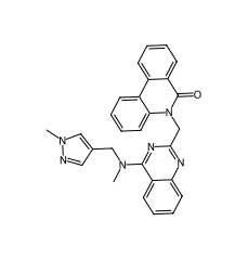 CN(Cc1cnn(C)c1)c1nc(Cn2c(=O)c3ccccc3c3ccccc32)nc2ccccc12